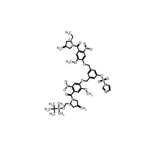 C=C1C[C@@H](CC)N(C(=O)c2cc(OC)c(OCc3cc(COc4cc([N+](=O)[O-])c(C(=O)N5CC(=C)C[C@H]5CO[Si](C)(C)C(C)(C)C)cc4OC)cc(OS(=O)(=O)n4ccnc4)c3)cc2[N+](=O)[O-])C1